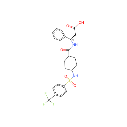 O=C(O)C[C@@H](NC(=O)C1CCC(NS(=O)(=O)c2ccc(C(F)(F)F)cc2)CC1)c1ccccc1